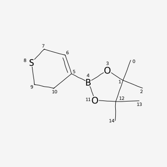 CC1(C)OB(C2=CCSCC2)OC1(C)C